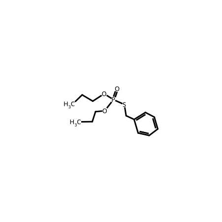 CCCOP(=O)(OCCC)SCc1ccccc1